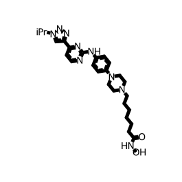 CC(C)n1cc(-c2ccnc(Nc3ccc(N4CCN(CCCCCCC(=O)NO)CC4)cc3)n2)nn1